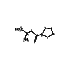 NN(CC(=O)N1CCCC1)C(=O)O